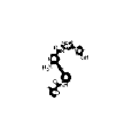 Cc1ccoc1C(=O)Nc1cccc(C#Cc2cc(C(=O)N=[SH](C)(O)CC(=O)N3CCC(O)C3)cnc2N)c1